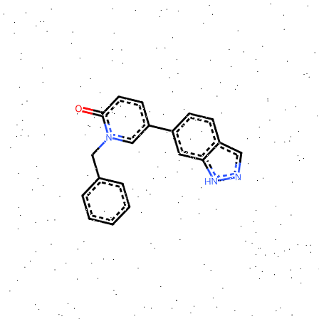 O=c1ccc(-c2ccc3cn[nH]c3c2)cn1Cc1ccccc1